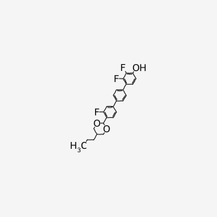 CCCC1COC(c2ccc(-c3ccc(-c4ccc(O)c(F)c4F)cc3)cc2F)OC1